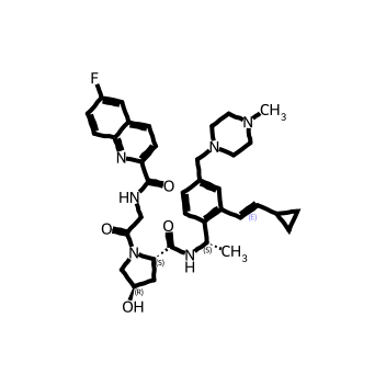 C[C@H](NC(=O)[C@@H]1C[C@@H](O)CN1C(=O)CNC(=O)c1ccc2cc(F)ccc2n1)c1ccc(CN2CCN(C)CC2)cc1/C=C/C1CC1